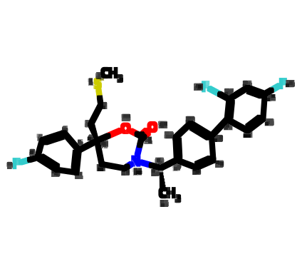 CSCC[C@]1(c2ccc(F)cc2)CCN([C@@H](C)c2ccc(-c3ccc(F)cc3F)cc2)C(=O)O1